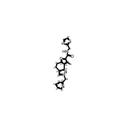 Cc1c(C(=O)NCc2nccs2)oc2c1-c1nn(Cc3ccccn3)cc1CC2